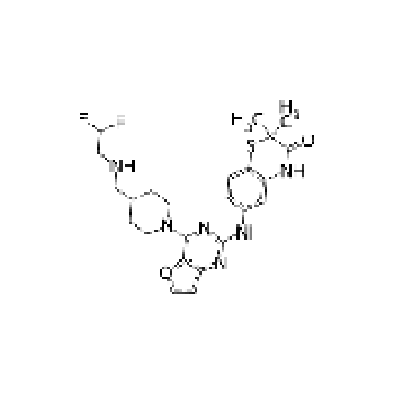 CC1(C)Sc2ccc(Nc3nc(N4CCC(CNCC(F)F)CC4)c4occc4n3)cc2NC1=O